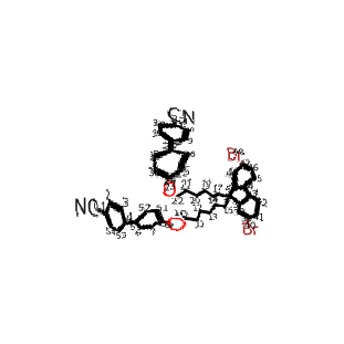 N#Cc1ccc(-c2ccc(OCCCCCCC3(CCCCCCOc4ccc(-c5ccc(C#N)cc5)cc4)c4cc(Br)ccc4-c4ccc(Br)cc43)cc2)cc1